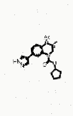 CC(=O)N1c2ccc(-c3cn[nH]c3)cc2N(C(=O)OC2CCCC2)C[C@@H]1C